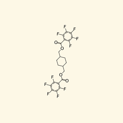 O=C(OCC1CCC(COC(=O)c2c(F)c(F)c(F)c(F)c2F)CC1)c1c(F)c(F)c(F)c(F)c1F